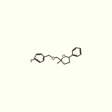 CC1(COCc2ccc(F)cc2)CCC(c2ccccc2)O1